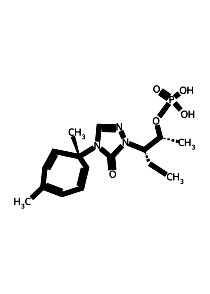 CC[C@@H]([C@@H](C)OP(=O)(O)O)n1ncn([C@]2(C)C=CC=C(C)C=C2)c1=O